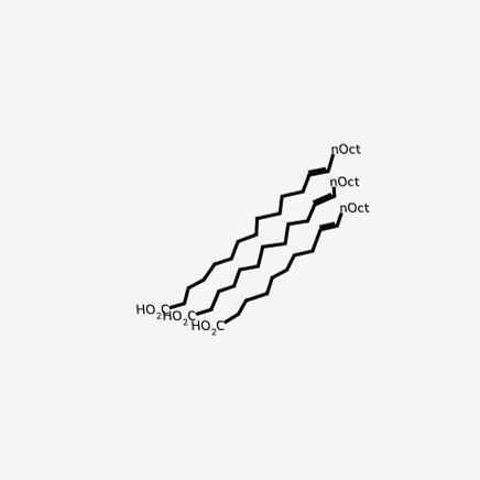 CCCCCCCCC=CCCCCCCCC(=O)O.CCCCCCCCC=CCCCCCCCCCC(=O)O.CCCCCCCCC=CCCCCCCCCCCCC(=O)O